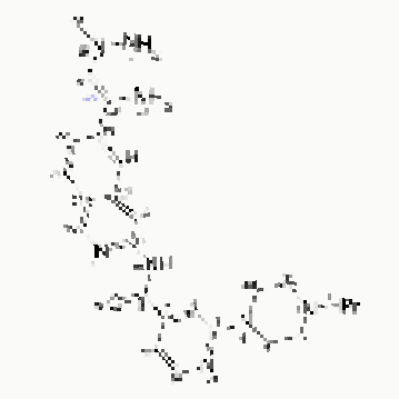 CC(C)N1CCN(c2cc(C(=O)Nc3cc4cc(/C(N)=C/N(C)N)ccc4cn3)ccn2)CC1